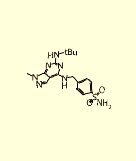 Cn1ncc2c(NCc3ccc(S(N)(=O)=O)cc3)nc(NC(C)(C)C)nc21